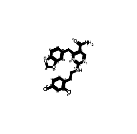 NC(=O)c1cnc(NCCc2ccc(Cl)cc2Cl)nc1[CH]c1ccc2c(c1)OCO2